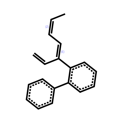 C=C/C(=C\C=C/C)c1ccccc1-c1ccccc1